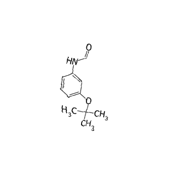 CC(C)(C)Oc1cccc(NC=O)c1